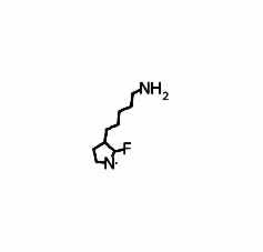 NCCCCCC1CC[N]C1F